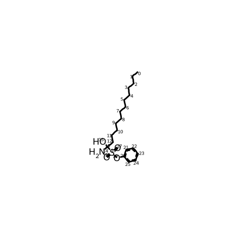 CCCCCCCCCCCCCC(N)(O)S(=O)(=O)Oc1ccccc1